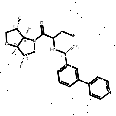 CC(C)CC(N[C@@H](c1cccc(-c2ccncc2)c1)C(F)(F)F)C(=O)N1C[C@H](F)[C@H]2OC[C@H](O)[C@H]21